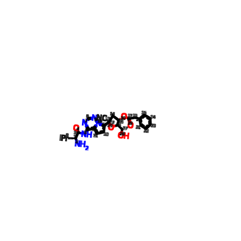 CC(C)[C@H](N)C(=O)Nc1ncnn2c([C@@]3(C#N)C[C@H](OC(=O)Cc4ccccc4)[C@@H](CO)O3)ccc12